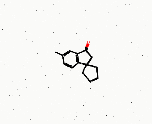 Cc1ccc2c(c1)C(=O)CC21CCCC1